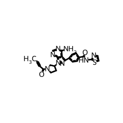 CC#CC(=O)N1CCC(n2nc(-c3ccc(C(=O)Nc4nccs4)cc3)c3c(N)ncnc32)C1